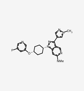 CNc1cc2c(cn1)c(-c1cnn(C)c1)nn2[C@H]1CC[C@@H](Oc2cncc(F)c2)CC1